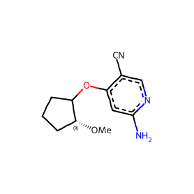 CO[C@@H]1CCCC1Oc1cc(N)ncc1C#N